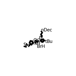 Br.CCCCCCCCCCCCCCOc1cc(C(C)(C)C)ccc1OCC(=O)Nc1cccc(CN2C=CSC2)c1